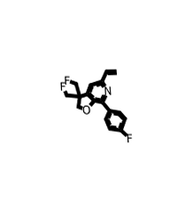 C=Cc1cc2c(c(-c3ccc(F)cc3)n1)OCC2(CF)CF